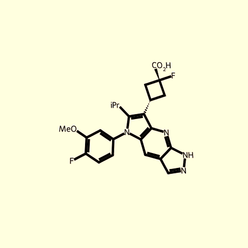 COc1cc(-n2c(C(C)C)c([C@H]3C[C@](F)(C(=O)O)C3)c3nc4[nH]ncc4cc32)ccc1F